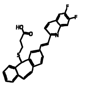 O=C(O)CCSC1c2ccccc2C=Cc2ccc(/C=C/c3ccc4cc(F)c(F)cc4n3)cc21